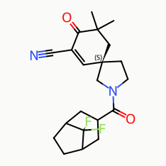 CC1(C)C[C@@]2(C=C(C#N)C1=O)CCN(C(=O)C1CC3CCC(C1)C3(F)F)C2